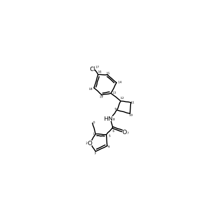 Cc1occc1C(=O)NC1CCC1c1ccc(Cl)cc1